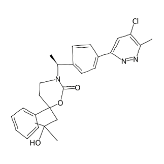 Cc1nnc(-c2ccc([C@H](C)N3CCC(CC(C)(C)O)(c4ccccc4)OC3=O)cc2)cc1Cl